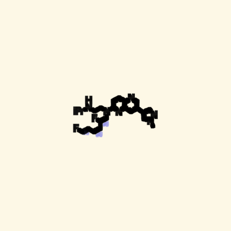 CC(C)NCCN(/C=C(F)/C=C\C=C\F)c1ccc2ncc(-c3cnn(C)c3)cc2n1